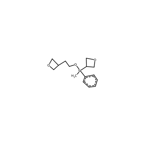 C[Si](OCCC1COC1)(c1ccccc1)C1COC1